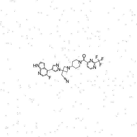 N#CCC1(n2cc(-c3c(F)cnc4[nH]ccc34)cn2)CN(C2CCN(C(=O)c3ccnc(C(F)(F)F)n3)CC2)C1